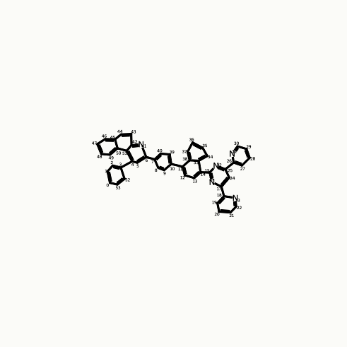 c1ccc(-c2cc(-c3ccc(-c4ccc(-c5nc(-c6ccccn6)cc(-c6ccccn6)n5)c5ccccc45)cc3)nc3ccc4ccccc4c23)cc1